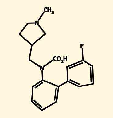 CN1CCC(CN(C(=O)O)c2ccccc2-c2cccc(F)c2)C1